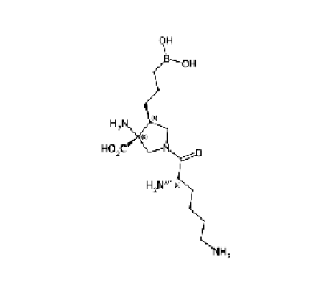 NCCCC[C@H](N)C(=O)N1C[C@H](CCCB(O)O)[C@](N)(C(=O)O)C1